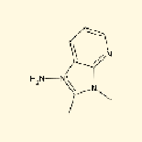 Cc1n(C)c2ncccc2[n+]1N